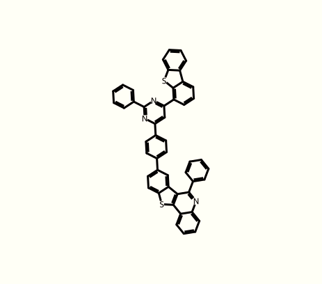 c1ccc(-c2nc(-c3ccc(-c4ccc5sc6c7ccccc7nc(-c7ccccc7)c6c5c4)cc3)cc(-c3cccc4c3sc3ccccc34)n2)cc1